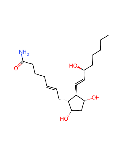 CCCCC[C@H](O)C=C[C@@H]1[C@@H](CC=CCCCC(N)=O)[C@@H](O)C[C@H]1O